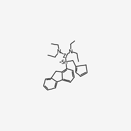 CC[N](CC)[Zr]([N](CC)CC)[Sn]([CH3])([CH2]C1=CC=CC1)[c]1cccc2c1Cc1ccccc1-2